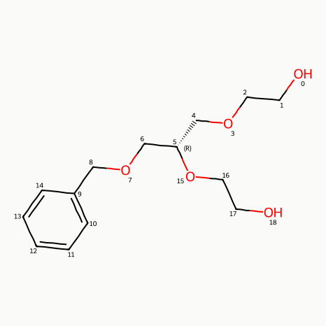 OCCOC[C@@H](COCc1ccccc1)OCCO